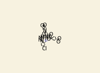 COC(=O)c1ccc(NC(=O)[C@H](CC(=O)N2CCS(=O)(=O)CC2)NC(=O)/C=C/c2cc(Cl)ccc2-n2cnnn2)cc1